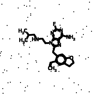 C=Cc1cc2c(cc1Cc1nc3c(N)nc(F)nc3n1CCNCC(C)C)OCC2